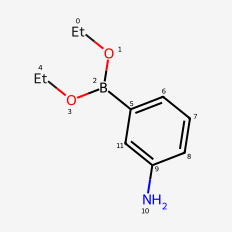 CCOB(OCC)c1cccc(N)c1